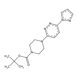 CC(C)(C)OC(=O)N1CCN(c2ccc(-n3cccn3)nn2)CC1